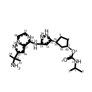 CC(C)NC(=O)O[C@@H]1CC[C@H](c2cc(Nc3nccn4nc(C(C)(C)N)cc34)n[nH]2)C1